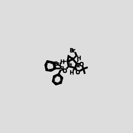 CC1(C)O[C@H]2[C@@H](O[Si](c3ccccc3)(c3ccccc3)C(C)(C)C)[C@H]3C[C@]3(CBr)[C@H]2O1